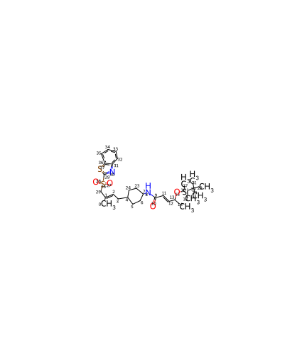 CC(=CCC1CCC(NC(=O)C=CC(C)O[Si](C)(C)C(C)(C)C)CC1)CS(=O)(=O)c1nc2ccccc2s1